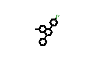 Cc1ccc2c(-c3ccc(Br)cc3)ccc(-c3ccccc3)c2c1